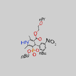 CCCCOP(=O)(OCCCC)C1=C(C)NC(C)=C(C(=O)OCCOCCC)C1c1cccc([N+](=O)[O-])c1